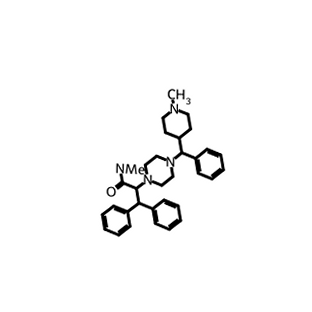 CNC(=O)C(C(c1ccccc1)c1ccccc1)N1CCN(C(c2ccccc2)C2CCN(C)CC2)CC1